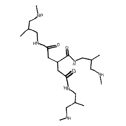 CNCC(C)CNC(=O)CC(CC(=O)NCC(C)CNC)C(=O)NCC(C)CNC